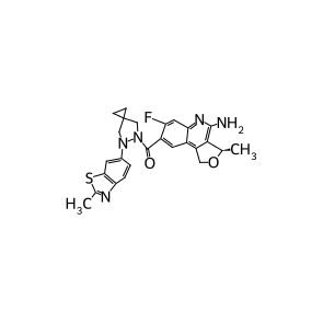 Cc1nc2ccc(N3CC4(CC4)CN3C(=O)c3cc4c5c(c(N)nc4cc3F)[C@@H](C)OC5)cc2s1